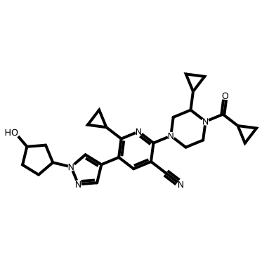 N#Cc1cc(-c2cnn(C3CCC(O)C3)c2)c(C2CC2)nc1N1CCN(C(=O)C2CC2)C(C2CC2)C1